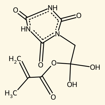 C=C(C)C(=O)OC(O)(O)Cn1c(=O)[nH]c(=O)[nH]c1=O